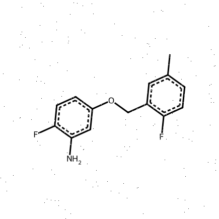 Cc1ccc(F)c(COc2ccc(F)c(N)c2)c1